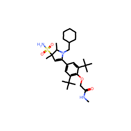 CNC(=O)COc1c(C(C)(C)C)cc(C2=CC(C)(S(N)(=O)=O)C(C)N2CC2CCCCC2)cc1C(C)(C)C